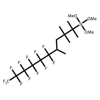 CO[Si](OC)(OC)C(C)(C)C(C)(C)CC(C)C(F)(F)C(F)(F)C(F)(F)C(F)(F)C(F)(F)C(F)(F)F